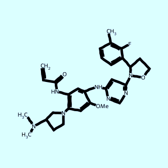 C=CC(=O)Nc1cc(Nc2cc(N3OCCC3c3cccc(C)c3F)ncn2)c(OC)cc1N1CCC(N(C)C)C1